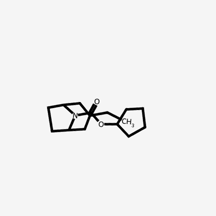 CCC1CC2CCC(C1)N2C(=O)OC1CCCC1